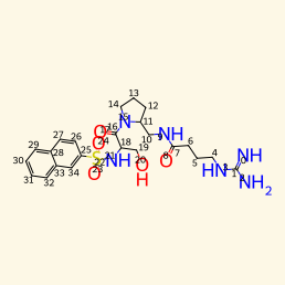 N=C(N)NCCCC(=O)NCC1CCCN1C(=O)C(CO)NS(=O)(=O)c1ccc2ccccc2c1